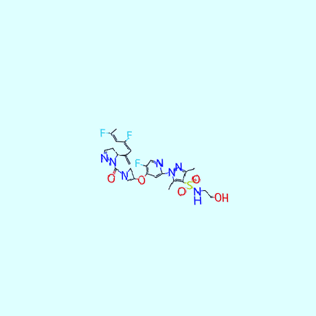 C=C(/C=C(F)\C=C(/C)F)[C@@H]1CC=NN1C(=O)N1CC(Oc2cc(-n3nc(C)c(S(=O)(=O)NCCO)c3C)ncc2F)C1